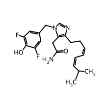 CC(C)/C=C\C=C/CCc1ncn(Cc2cc(F)c(O)c(F)c2)c1CC(N)=O